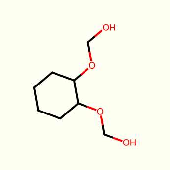 OCOC1CCCCC1OCO